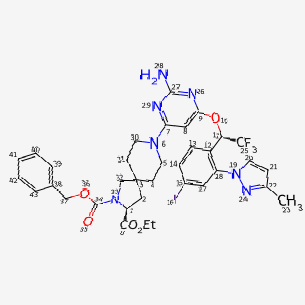 CCOC(=O)[C@@H]1CC2(CCN(c3cc(O[C@H](c4ccc(I)cc4-n4ccc(C)n4)C(F)(F)F)nc(N)n3)CC2)CN1C(=O)OCc1ccccc1